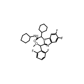 COC(c1c(F)cccc1F)c1nc2cc(F)c(F)cc2n1C(C(=O)NC1CCCCC1)C1CCCCC1